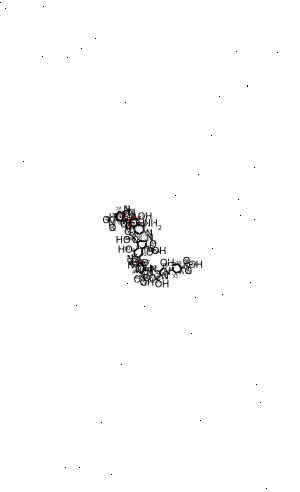 Nc1c(/N=N\c2ccc3c(O)c(/N=N\c4ccc(/N=N/c5c(C(=O)O)nn(-c6ccc(S(=O)(=O)O)cc6)c5O)c(S(=O)(=O)O)c4)c(S(=O)(=O)O)cc3c2S(=O)(=O)O)cc(S(=O)(=O)O)c2cc(S(=O)(=O)O)c(/N=N\c3ccc([N+](=O)[O-])cc3S(=O)(=O)O)c(O)c12